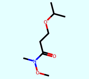 CON(C)C(=O)CCOC(C)C